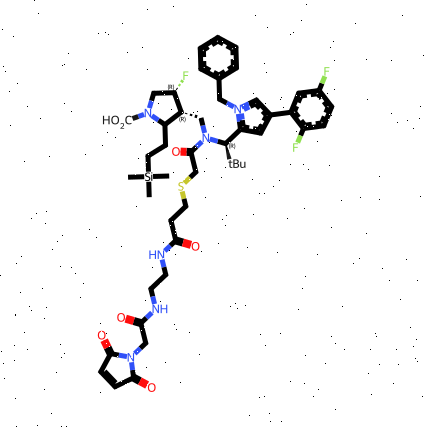 CC(C)(C)[C@H](c1cc(-c2cc(F)ccc2F)cn1Cc1ccccc1)N(C[C@@H]1C(CC[Si](C)(C)C)N(C(=O)O)C[C@@H]1F)C(=O)CSCCC(=O)NCCNC(=O)CN1C(=O)C=CC1=O